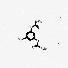 COC(=O)Oc1cc(N)cc(OC(=O)OC)c1